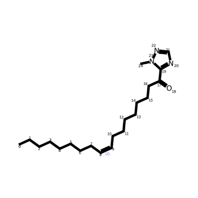 CCCCCCCC/C=C\CCCCCCCC(=O)c1ncnn1C